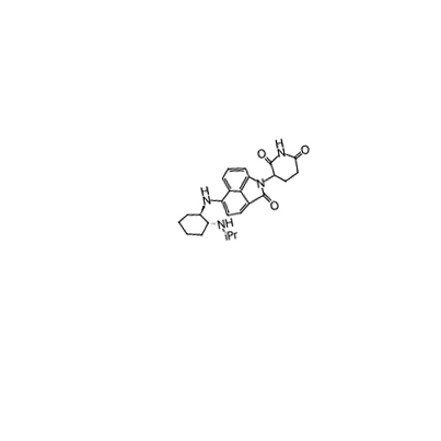 CC(C)N[C@@H]1CCCC[C@H]1Nc1ccc2c3c(cccc13)N(C1CCC(=O)NC1=O)C2=O